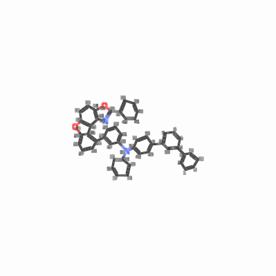 c1ccc(-c2cccc(-c3ccc(N(c4ccccc4)c4cccc(-c5cccc6oc7ccc8oc(-c9ccccc9)nc8c7c56)c4)cc3)c2)cc1